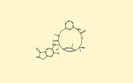 Cc1cc2ccc1[C@@H](C)COC(=O)Nc1cccc(c1)CN(C)C(=O)[C@@H]2Nc1cc2c(cc1F)CNC2=O